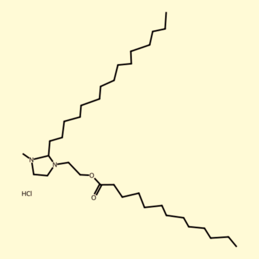 CCCCCCCCCCCCCCCC1N(C)CCN1CCOC(=O)CCCCCCCCCCCC.Cl